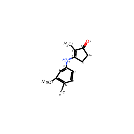 COc1cc(NC2=C(C)C(=O)CC2)ccc1C(C)=O